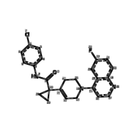 O=C(Nc1ccc(Cl)cc1)C1(C2=CCN(c3ccnc4ccc(F)cc34)CC2)CC1